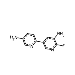 Nc1ccc(-c2cnc(F)c(N)c2)nc1